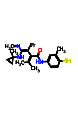 C=N/C(NC1(C)CC1)=C(/C(C(=O)Nc1ccc(S)c(C)c1)=C(C)C)C(C)C